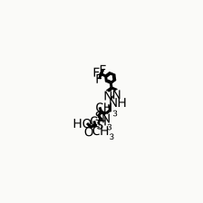 Cc1sc(SC(C)(C)C(=O)O)nc1CCNc1ncc(-c2cccc(C(F)(F)F)c2)cn1